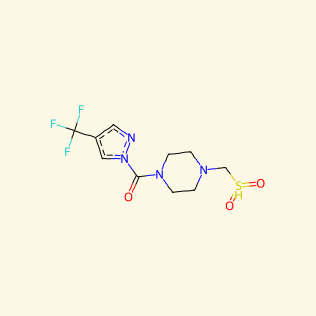 O=C(N1CCN(C[SH](=O)=O)CC1)n1cc(C(F)(F)F)cn1